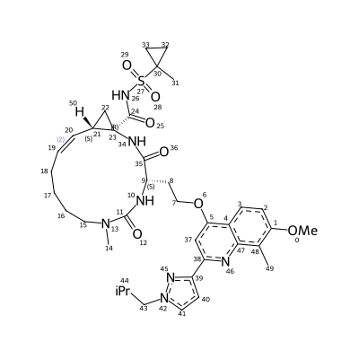 COc1ccc2c(OCC[C@@H]3NC(=O)N(C)CCCC/C=C\[C@@H]4C[C@@]4(C(=O)NS(=O)(=O)C4(C)CC4)NC3=O)cc(-c3ccn(CC(C)C)n3)nc2c1C